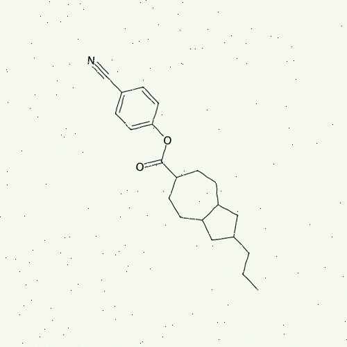 CCCC1CC2CCC(C(=O)Oc3ccc(C#N)cc3)CCC2C1